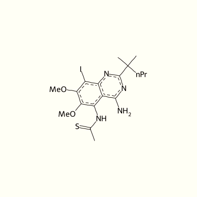 CCCC(C)(C)c1nc(N)c2c(NC(C)=S)c(OC)c(OC)c(I)c2n1